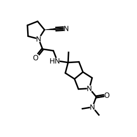 CN(C)C(=O)N1CC2CC(C)(NCC(=O)N3CCC[C@H]3C#N)CC2C1